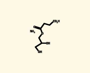 N.O=C(O)CCC(=O)OCC(O)CO